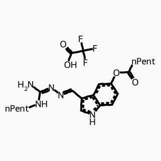 CCCCCNC(N)=NN=Cc1c[nH]c2ccc(OC(=O)CCCCC)cc12.O=C(O)C(F)(F)F